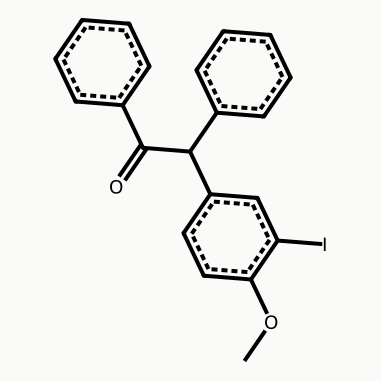 COc1ccc(C(C(=O)c2ccccc2)c2ccccc2)cc1I